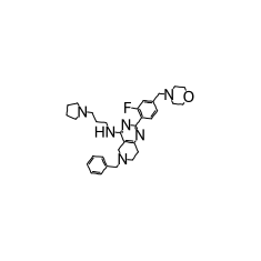 Fc1cc(CN2CCOCC2)ccc1-c1nc2c(c(NCCCN3CCCC3)n1)CN(Cc1ccccc1)CC2